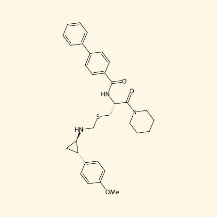 COc1ccc([C@@H]2C[C@H]2NCSC[C@H](NC(=O)c2ccc(-c3ccccc3)cc2)C(=O)N2CCCCC2)cc1